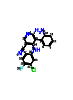 N#Cc1cncc(-c2ccccc2N)c1Nc1ccc(F)c(Cl)c1